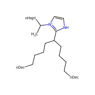 CCCCCCCCCCCCCCC(CCCCCCCCCCCCCC)c1[nH]cc[n+]1C(C)CCCCCCC